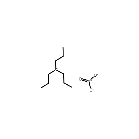 CCC[S+](CCC)CCC.O=[N+]([O-])[O-]